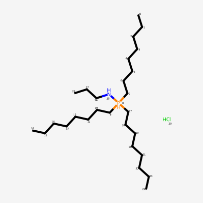 CCCCCCCC[PH](CCCCCCCC)(CCCCCCCC)NCCC.Cl